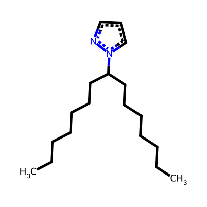 CCCCCCCC(CCCCCCC)n1cccn1